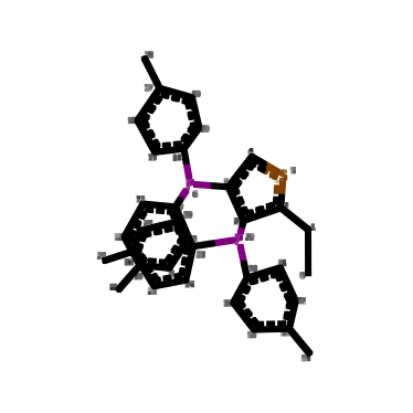 CCc1scc(P(c2ccc(C)cc2)c2ccc(C)cc2)c1P(c1ccc(C)cc1)c1ccc(C)cc1